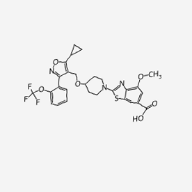 COc1cc(C(=O)O)cc2sc(N3CCC(OCc4c(-c5ccccc5OC(F)(F)F)noc4C4CC4)CC3)nc12